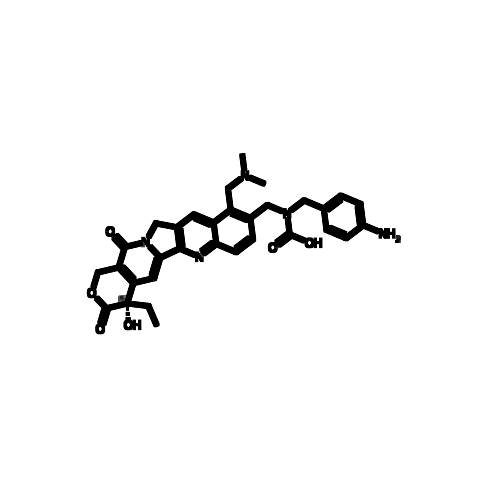 CC[C@@]1(O)C(=O)OCc2c1cc1n(c2=O)Cc2cc3c(CN(C)C)c(CN(Cc4ccc(N)cc4)C(=O)O)ccc3nc2-1